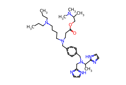 CCCN(CCC)CCCCN(CCC(=O)OCC(C)N(C)C)Cc1ccc(CN(Cc2ncc[nH]2)C(C)c2ncc[nH]2)cc1